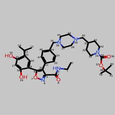 CCNC(=O)c1noc(-c2cc(C(C)C)c(O)cc2O)c1-c1ccc(CN2CCN(CC3CCN(C(=O)OC(C)(C)C)CC3)CC2)cc1